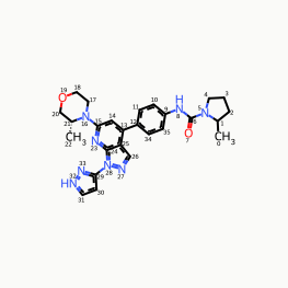 CC1CCCN1C(=O)Nc1ccc(-c2cc(N3CCOC[C@H]3C)nc3c2cnn3-c2cc[nH]n2)cc1